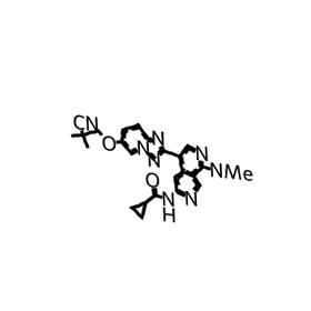 CNc1ncc(-c2nc3ccc(OCC(C)(C)C#N)cn3n2)c2cc(NC(=O)C3CC3)ncc12